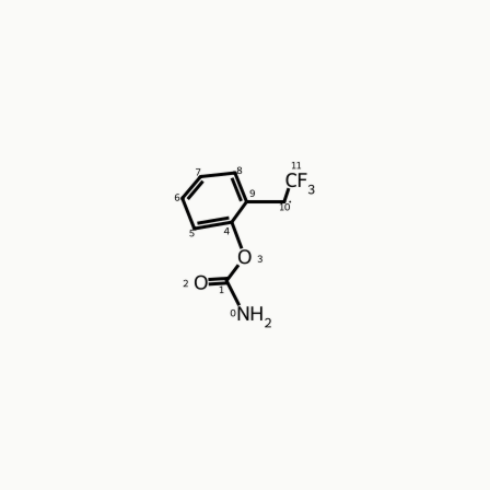 NC(=O)Oc1ccccc1[CH]C(F)(F)F